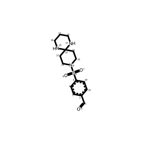 O=Cc1ccc(S(=O)(=O)N2CCC3(CC2)NCCCN3)cc1